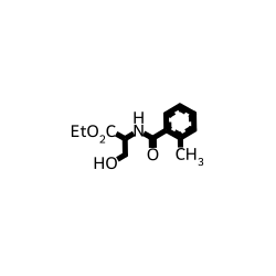 CCOC(=O)C(CO)NC(=O)c1ccccc1C